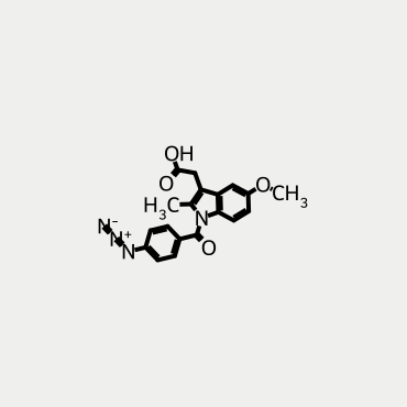 COc1ccc2c(c1)c(CC(=O)O)c(C)n2C(=O)c1ccc(N=[N+]=[N-])cc1